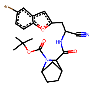 CC(C)(C)OC(=O)N1C2CCC(C2)C1C(=O)NC(C#N)Cc1cc2cc(Br)ccc2o1